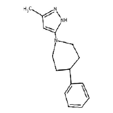 Cc1cc(N2CCC(c3ccccc3)CC2)[nH]n1